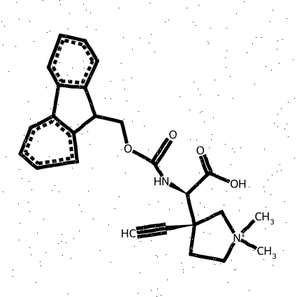 C#C[C@]1([C@@H](NC(=O)OCC2c3ccccc3-c3ccccc32)C(=O)O)CC[N+](C)(C)C1